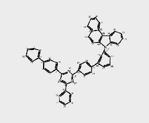 c1ccc(-c2ccc(-c3nc(-c4ccccc4)nc(-c4ccc(-c5cccc(-n6c7ccccc7c7c8ccccc8ccc76)c5)cc4)n3)cc2)cc1